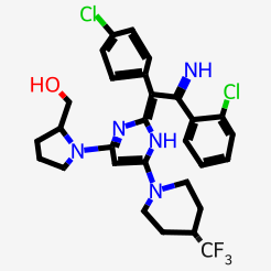 N=C(/C(=C1/N=C(N2CCCC2CO)C=C(N2CCC(C(F)(F)F)CC2)N1)c1ccc(Cl)cc1)c1ccccc1Cl